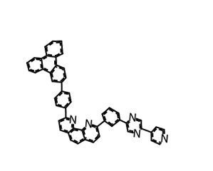 c1cc(-c2cnc(-c3ccncc3)cn2)cc(-c2ccc3ccc4ccc(-c5ccc(-c6ccc7c8ccccc8c8ccccc8c7c6)cc5)nc4c3n2)c1